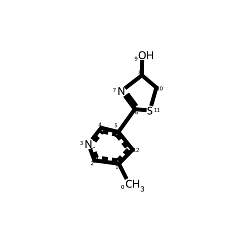 Cc1cncc(C2=NC(O)CS2)c1